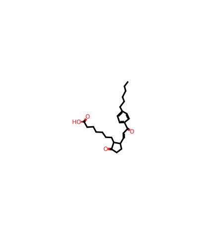 CCCCCCc1ccc(C(=O)C=CC2CCC(=O)C2CCCCCCC(=O)O)cc1